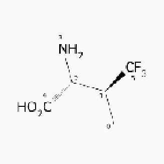 C[C@@H]([C@@H](N)C(=O)O)C(F)(F)F